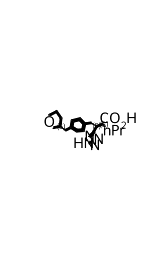 CCC[C@H](C(=O)O)[C@H](Cc1ccc(C[C@@H]2CCCOC2)cc1)c1nn[nH]n1